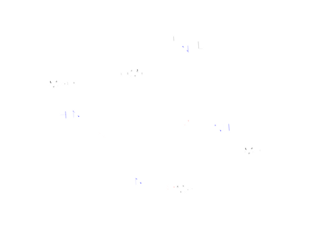 CCN(CC)CCCOc1cccc2c1-c1c(OC)cc(OC)c(N)c1C2=O.COc1cc(OC)c2c(c1N)C(=O)c1cccc(OC(C)C3CCCN3)c1-2